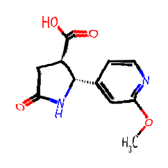 COc1cc([C@@H]2NC(=O)C[C@H]2C(=O)O)ccn1